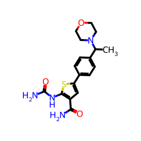 CC(c1ccc(-c2cc(C(N)=O)c(NC(N)=O)s2)cc1)N1CCOCC1